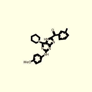 COc1ccc(Nc2nc(N3CCCCC3)c3[nH]c(C(=O)c4cccc(C)c4)nc3n2)cc1